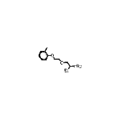 CCCCC(CC)COCCOc1ccccc1C